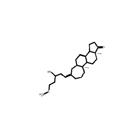 CCCC(C/C=C1/CCC[C@@]2(C)C(CCC3C2CC[C@]2(C)C(=O)CCC32)C1)CCSN